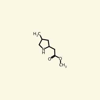 COC(=O)CC1CC(C)CN1